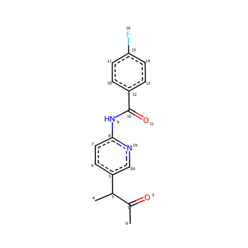 CC(=O)C(C)c1ccc(NC(=O)c2ccc(F)cc2)nc1